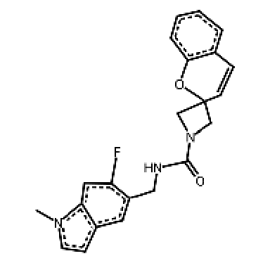 Cn1ccc2cc(CNC(=O)N3CC4(C=Cc5ccccc5O4)C3)c(F)cc21